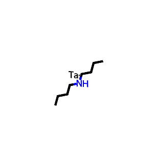 CCCCNCCCC.[Ta]